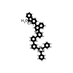 CC1(C)c2ccccc2-c2ccc(-c3cc4sc5c(-c6cccc(-c7cccc(-c8nc(-c9ccccc9)nc(-c9ccccc9)n8)c7)c6)cccc5c4c4ccccc34)cc21